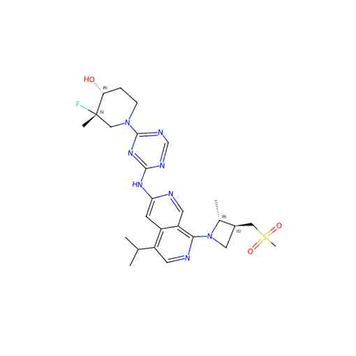 CC(C)c1cnc(N2C[C@H](CS(C)(=O)=O)[C@H]2C)c2cnc(Nc3ncnc(N4CC[C@@H](O)[C@@](C)(F)C4)n3)cc12